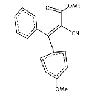 COC(=O)/C(C#N)=C(\c1ccccc1)c1ccc(OC)cc1